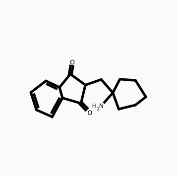 NC1(CC2C(=O)c3ccccc3C2=O)CCCCC1